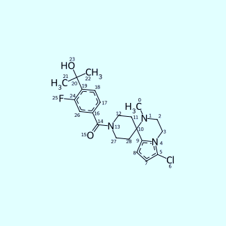 CN1CCn2c(Cl)ccc2C12CCN(C(=O)c1ccc(C(C)(C)O)c(F)c1)CC2